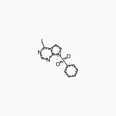 O=S(=O)(c1ccccc1)n1ccc2c(I)ncnc21